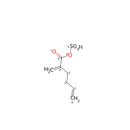 C=CCCC(=C)C(=O)OS(=O)(=O)O